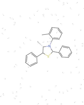 Cc1ccccc1N1C(c2ccccc2)SC(c2ccccc2)[C@@H]1C